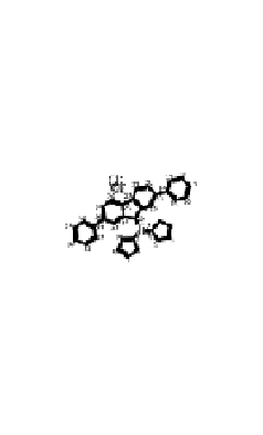 C1=CC[C]([Ti+2](=[C]2CCCC2)[CH]2c3cc(-c4ccccc4)ccc3-c3ccc(-c4ccccc4)cc32)=C1.[Cl-].[Cl-]